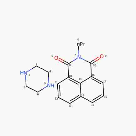 C1CNCCN1.CCCN1C(=O)c2cccc3cccc(c23)C1=O